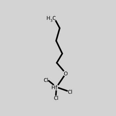 CCCCC[O][Hf]([Cl])([Cl])[Cl]